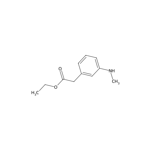 CCOC(=O)Cc1cccc(NC)c1